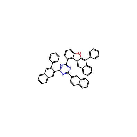 c1ccc(-c2cc3ccccc3cc2-c2nc(-c3ccc4ccccc4c3)nc(-c3cccc4oc5c(-c6ccccc6)c6ccccc6cc5c34)n2)cc1